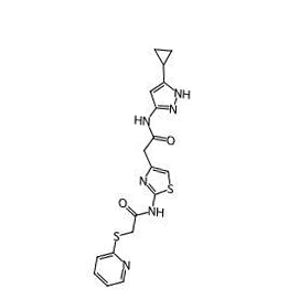 O=C(Cc1csc(NC(=O)CSc2ccccn2)n1)Nc1cc(C2CC2)[nH]n1